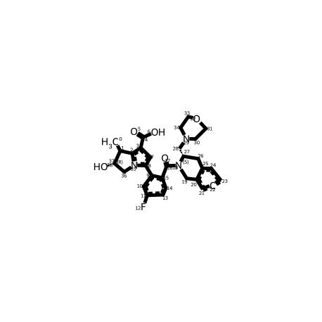 CC1c2c(C(=O)O)cc(-c3cc(F)ccc3C(=O)N3Cc4ccccc4C[C@H]3CN3CCOCC3)n2C[C@@H]1O